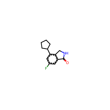 O=C1NCc2c1cc(F)cc2C1CCCC1